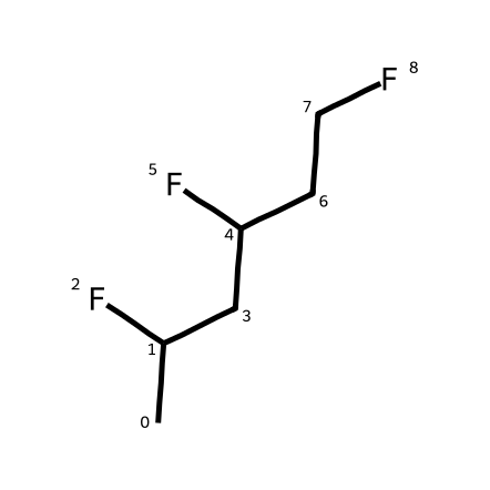 CC(F)CC(F)CCF